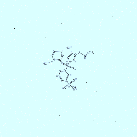 CNCc1cc(-c2cccnc2)n(S(=O)(=O)c2cccc(S(C)(=O)=O)c2)c1.Cl.Cl